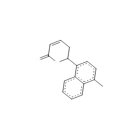 Cc1ccc(C2CC=CC(=O)O2)c2ccccc12